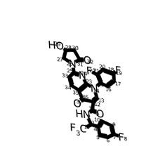 O=C(NC(c1ccc(F)cc1)C(F)(F)F)c1cn(-c2ccc(F)cc2F)c2nc(N3CC(O)CC3=O)ccc2c1=O